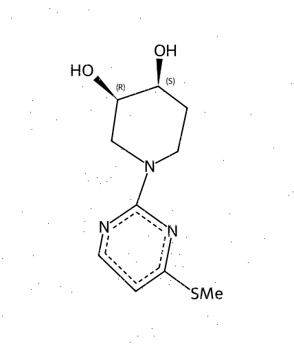 CSc1ccnc(N2CC[C@H](O)[C@H](O)C2)n1